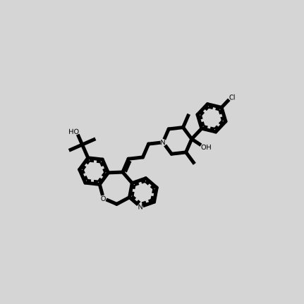 CC1CN(CCC=C2c3cc(C(C)(C)O)ccc3OCc3ncccc32)CC(C)C1(O)c1ccc(Cl)cc1